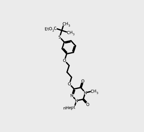 CCCCCCCn1nc(OCCCOc2cccc(SC(C)(C)C(=O)OCC)c2)c(=O)n(C)c1=O